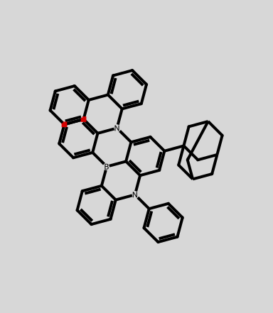 c1ccc(-c2ccccc2N2c3ccccc3B3c4ccccc4N(c4ccccc4)c4cc(C56CC7CC(CC(C7)C5)C6)cc2c43)cc1